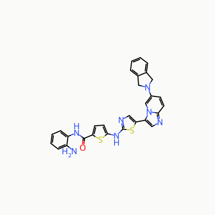 Nc1ccccc1NC(=O)c1ccc(Nc2ncc(-c3cnc4ccc(N5Cc6ccccc6C5)cn34)s2)s1